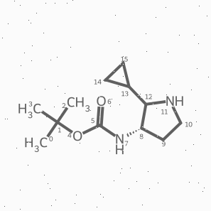 CC(C)(C)OC(=O)N[C@H]1CCNC1C1CC1